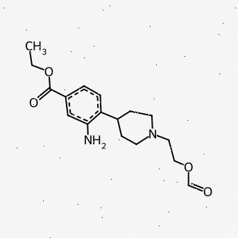 CCOC(=O)c1ccc(C2CCN(CCOC=O)CC2)c(N)c1